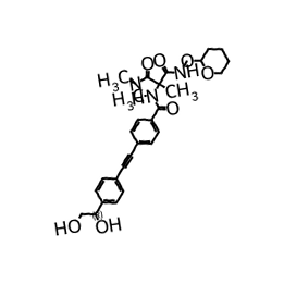 CNC(=O)C(C)(C(=O)NOC1CCCCO1)N(C)C(=O)c1ccc(C#Cc2ccc([C@@H](O)CO)cc2)cc1